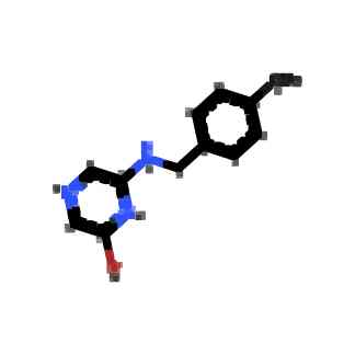 COc1ccc(CNc2cncc(Br)n2)cc1